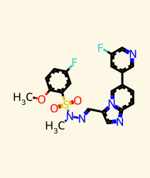 COc1ccc(F)cc1S(=O)(=O)N(C)/N=C/c1cnc2ccc(-c3cncc(F)c3)cn12